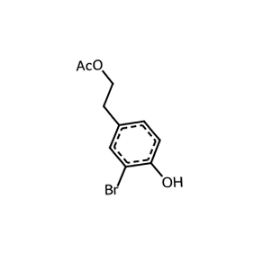 CC(=O)OCCc1ccc(O)c(Br)c1